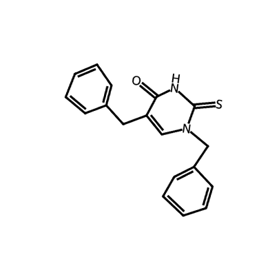 O=c1[nH]c(=S)n(Cc2ccccc2)cc1Cc1ccccc1